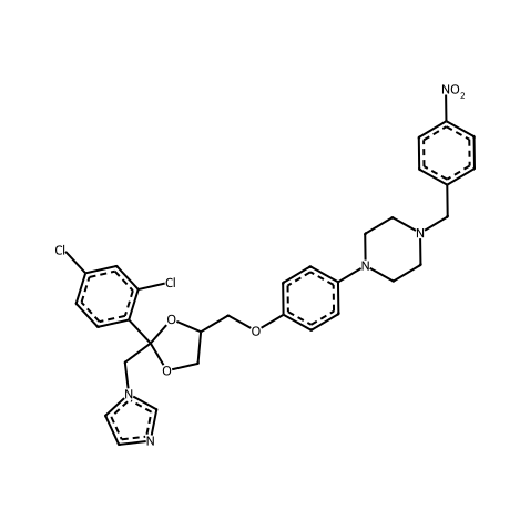 O=[N+]([O-])c1ccc(CN2CCN(c3ccc(OCC4COC(Cn5ccnc5)(c5ccc(Cl)cc5Cl)O4)cc3)CC2)cc1